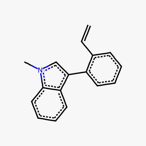 C=Cc1ccccc1-c1cn(C)c2ccccc12